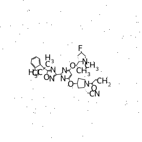 C=CC(=O)N1CC[C@H](Oc2cc(O[C@@H](C)[C@@H]3C[C@@H](F)CN3C)nc(-c3noc(C(C)(C)c4ccccc4Cl)n3)n2)C[C@H]1CC#N